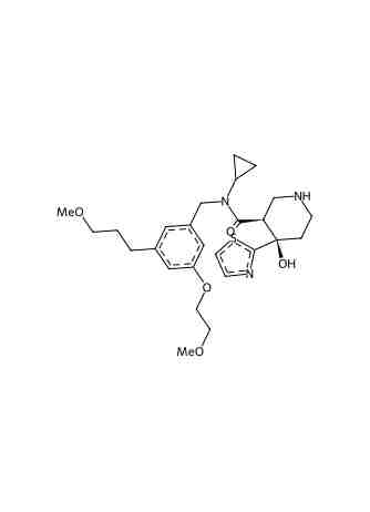 COCCCc1cc(CN(C(=O)[C@H]2CNCC[C@]2(O)c2nccs2)C2CC2)cc(OCCOC)c1